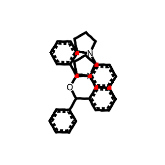 c1ccc(C(OC(c2ccccc2)c2ccccc2N2CCCC2)c2ccccc2N2CCCC2)cc1